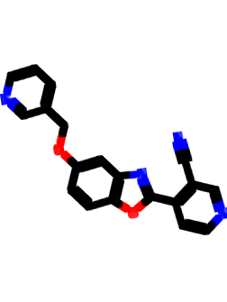 N#Cc1cnccc1-c1nc2cc(OCc3cccnc3)ccc2o1